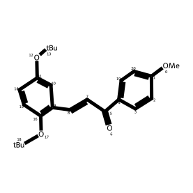 COc1ccc(C(=O)C=Cc2cc(OC(C)(C)C)ccc2OC(C)(C)C)cc1